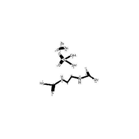 O=S(=O)(O)S.S=C(S)NCCNC(=S)S.[O]=[Zn].[Zn]